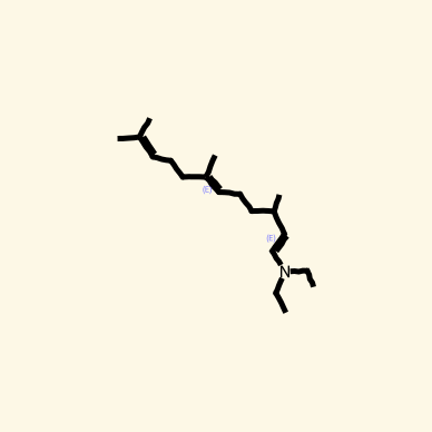 CCN(/C=C/C(C)CC/C=C(\C)CCC=C(C)C)CC